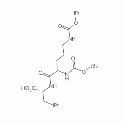 CC(C)C[C@@H](NC(=O)[C@H](CCCNC(=O)OC(C)C)NC(=O)OC(C)(C)C)C(=O)O